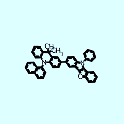 CC1(C)c2ccccc2N(c2cccc3ccccc23)c2ccc(-c3ccc4c(c3)c3oc5ccccc5c3n4-c3ccccc3)cc21